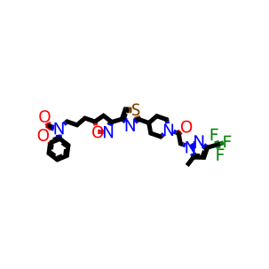 Cc1cc(C(F)(F)F)nn1CC(=O)N1CCC(c2nc(C3=NOC(CCCn4c(=O)oc5ccccc54)C3)cs2)CC1